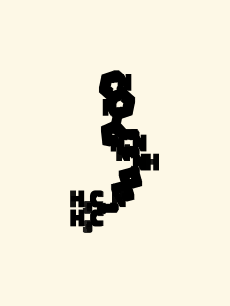 CC(C)CN1CC2(CC(Nc3ncc4c(-c5ccc6ncccc6n5)ccn4n3)C2)C1